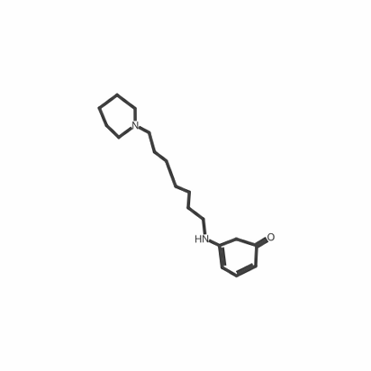 O=C1C=CC=C(NCCCCCCCN2CCCCC2)C1